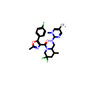 Cc1nc(C(=O)N2CC(F)(F)CC(C)C2CNC2N=CC(C(F)(F)F)=CN2C)c(-c2ccc(F)cc2)o1